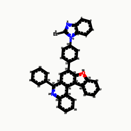 CCc1nc2ccccc2n1-c1ccc(-c2cc3c(-c4ccccc4)nc4ccccc4c3c3c2oc2ccccc23)cc1